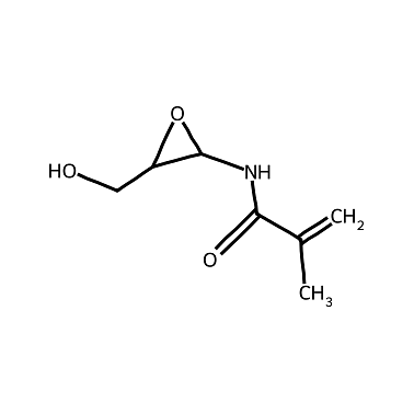 C=C(C)C(=O)NC1OC1CO